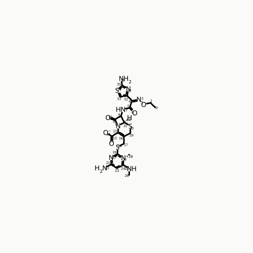 CCO/N=C(\C(=O)NC1C(=O)N2C(C(=O)[O-])=C(CSc3nc(N)cc(NC)[n+]3C)CS[C@H]12)c1csc(N)n1